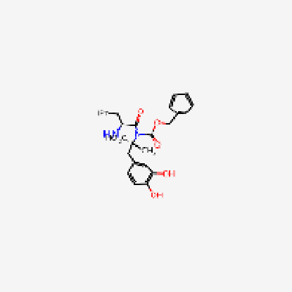 CC(C)C[C@H](N)C(=O)N(C(=O)OCc1ccccc1)[C@@](C)(Cc1ccc(O)c(O)c1)C(=O)O